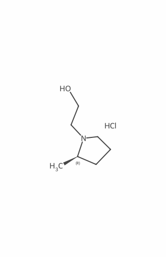 C[C@@H]1CCCN1CCO.Cl